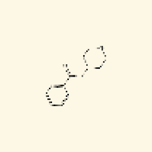 O=C(CC1CC[N]CC1)c1ccccc1